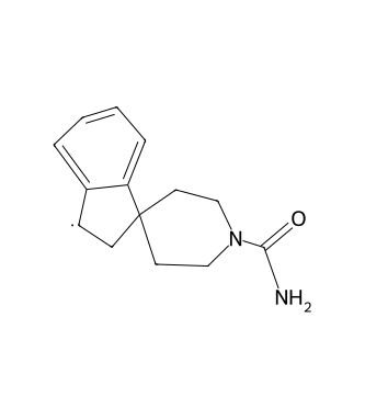 NC(=O)N1CCC2(C[CH]c3ccccc32)CC1